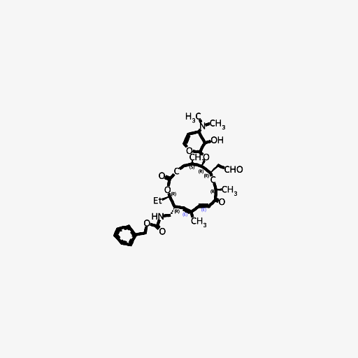 CC[C@H]1OC(=O)CC[C@H](C)[C@@H](OC2OC=CC(N(C)C)C2O)[C@@H](CC=O)C[C@@H](C)C(=O)/C=C/C(C)=C/[C@@H]1CNC(=O)OCc1ccccc1